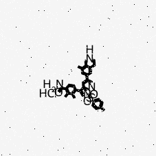 Cc1ccc(S(=O)(=O)n2cc(-c3ccc(C(N)=O)c(C)c3C)c3cc(-c4cc(C)c5c(c4)CCNC5)cnc32)cc1.Cl